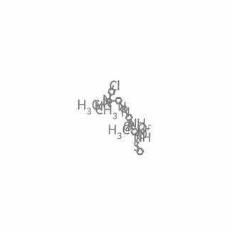 COP(Nc1ccc(N2CCN(c3cccc(-c4cn(CCN(C)C)nc4-c4ccc(Cl)cc4)c3)CC2)cc1)c1ccc(NCCSc2ccccc2)c([N+](=O)[O-])c1